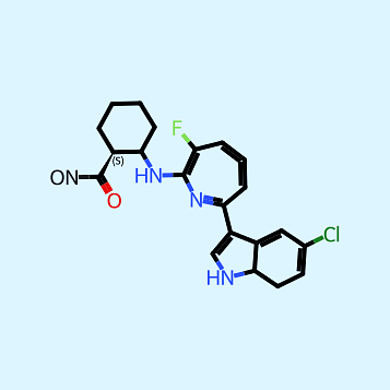 O=NC(=O)[C@H]1CCCCC1NC1=C(F)C=C=CC(C2=CNC3CC=C(Cl)C=C23)=N1